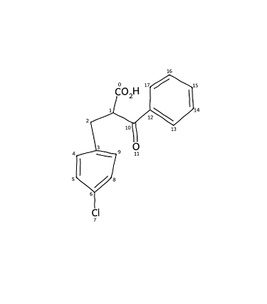 O=C(O)C(Cc1ccc(Cl)cc1)C(=O)c1ccccc1